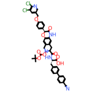 CC(C)(C)OC(=O)ON1Cc2cc3c(cc2CC1C(=O)N[C@@H](Cc1ccc(-c2ccc(C#N)cc2)cc1)C(=O)O)NC(=O)[C@H](c1ccc(OCc2cnc(Cl)c(Cl)c2)cc1)O3